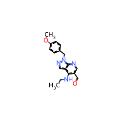 CCNc1c(C=O)cnc2c1cnn2Cc1ccc(OC)cc1